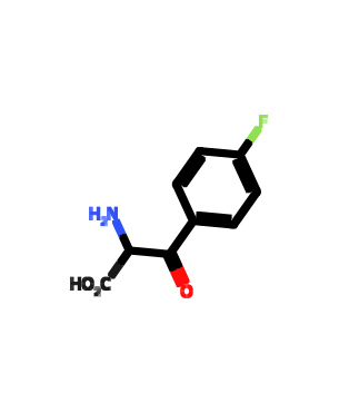 NC(C(=O)O)C(=O)c1ccc(F)cc1